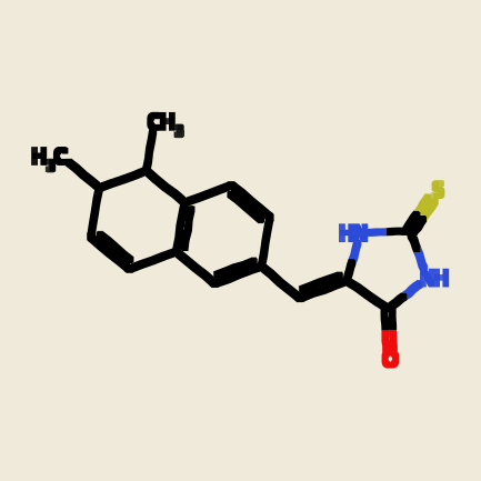 CC1C=Cc2cc(/C=C3\NC(=S)NC3=O)ccc2C1C